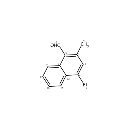 CCc1cc(C)c(C=O)c2ccccc12